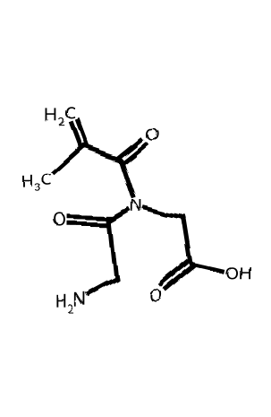 C=C(C)C(=O)N(CC(=O)O)C(=O)CN